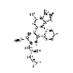 N#Cc1nc(-c2cc(Cl)c3[nH]ncc3c2)c(-c2ccccc2)nc1NC(=O)NC1CC1